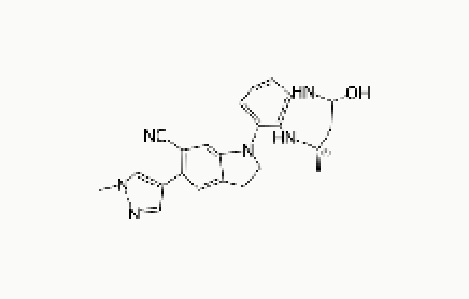 C[C@@H]1CC(O)Nc2cccc(N3CCc4cc(-c5cnn(C)c5)c(C#N)cc43)c2N1